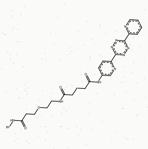 CC(C)NC(=O)CCOCCNC(=O)CCCC(=O)Nc1ccc(-c2nnc(-c3ccccn3)nn2)nc1